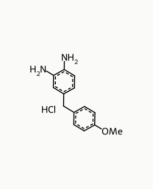 COc1ccc(Cc2ccc(N)c(N)c2)cc1.Cl